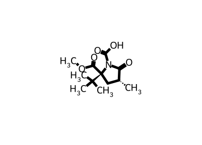 COC(=O)[C@@]1(C(C)(C)C)C[C@@H](C)C(=O)N1C(=O)O